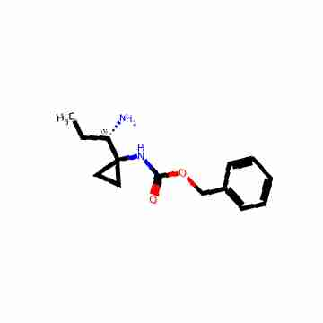 CC[C@H](N)C1(NC(=O)OCc2ccccc2)CC1